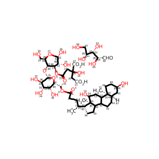 C[C@H](CCC(=O)OC[C@H]1O[C@@H](O[C@H]2[C@H](OC(=O)CC(O)(CC(=O)O)C(=O)O)[C@@H](O)[C@@H](O)O[C@@H]2CO)[C@H](O)[C@@H](O)[C@H]1O)[C@H]1CCC2C3CC[C@@H]4C[C@H](O)CC[C@]4(C)C3C[C@H](O)[C@@]21C.O=C[C@H](O)[C@@H](O)[C@H](O)CO